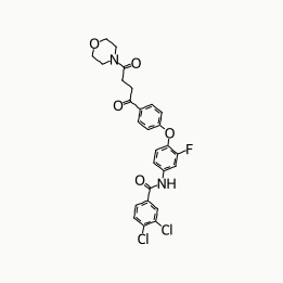 O=C(CCC(=O)N1CCOCC1)c1ccc(Oc2ccc(NC(=O)c3ccc(Cl)c(Cl)c3)cc2F)cc1